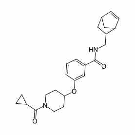 O=C(NCC1CC2C=CC1C2)c1cccc(OC2CCN(C(=O)C3CC3)CC2)c1